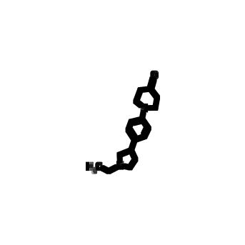 CCN1CCC(c2ccc(N3CCC(=O)CC3)cc2)C1